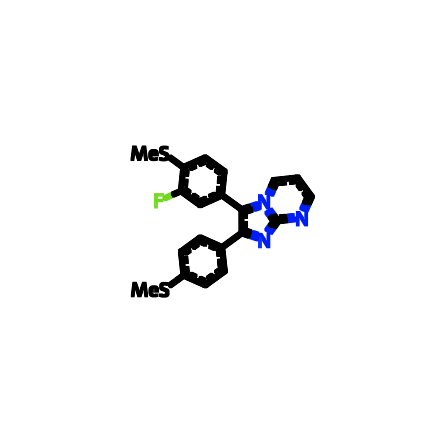 CSc1ccc(-c2nc3ncccn3c2-c2ccc(SC)c(F)c2)cc1